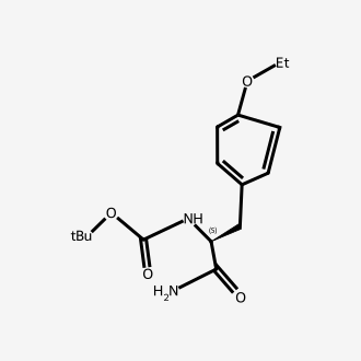 CCOc1ccc(C[C@H](NC(=O)OC(C)(C)C)C(N)=O)cc1